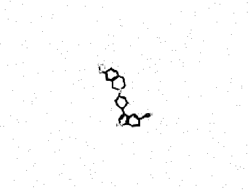 COc1ccc2c(c1)CN(C1CCC(c3c[nH]c4ccc(C#N)cc34)CC1)CC2